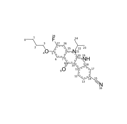 CCCCOc1cc2c(=O)c3c4ccc(C#N)cc4[nH]c3n(C(C)C)c2cc1F